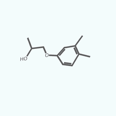 Cc1ccc(OCC(C)O)cc1C